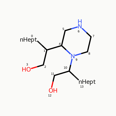 CCCCCCCC(CO)C1CNCCN1C(CO)CCCCCCC